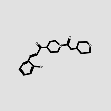 O=C(C=Cc1ccccc1Br)C1CCN(C(=O)CC2CCOCC2)CC1